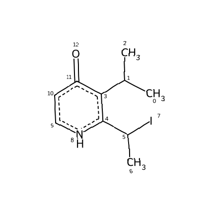 CC(C)c1c(C(C)I)[nH]ccc1=O